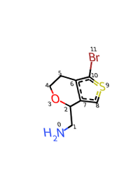 NCC1OCCc2c1csc2Br